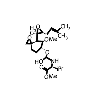 COC(=O)[C@@H](NC(O)O[C@@H]1CC[C@]2(CO2)[C@@H]([C@@]2(C)O[C@@H]2CC=C(C)C)[C@@H]1OC)C(C)C